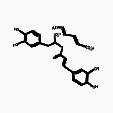 C/C=C/C=C/C(=O)O.O=C(/C=C/c1ccc(O)c(O)c1)OC(Cc1ccc(O)c(O)c1)C(=O)O